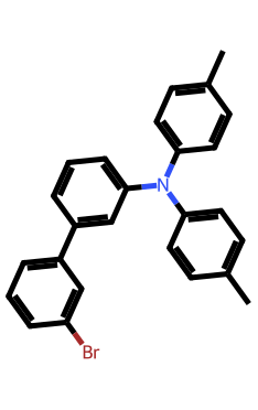 Cc1ccc(N(c2ccc(C)cc2)c2cccc(-c3cccc(Br)c3)c2)cc1